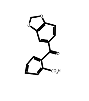 O=C(O)c1ccccc1C(=O)c1ccc2c(c1)OCO2